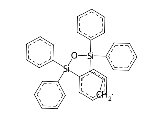 [CH2]CC[Si](O[Si](c1ccccc1)(c1ccccc1)c1ccccc1)(c1ccccc1)c1ccccc1